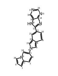 c1cc2ccc(-n3cc4ccc(-c5nc6ncncc6[nH]5)cc4c3)cn2c1